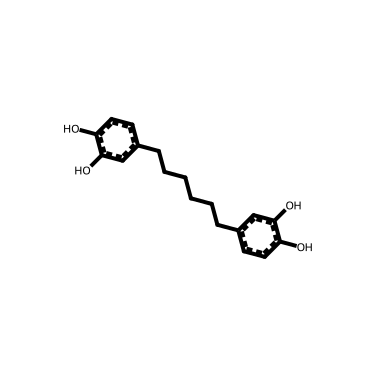 Oc1ccc(CCCCCCc2ccc(O)c(O)c2)cc1O